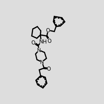 O=C(Cc1ccccc1)N1CCN(C(=O)NC2(C(=O)OCc3ccccc3)CCCCC2)CC1